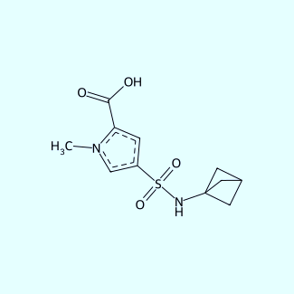 Cn1cc(S(=O)(=O)NC23CC(C2)C3)cc1C(=O)O